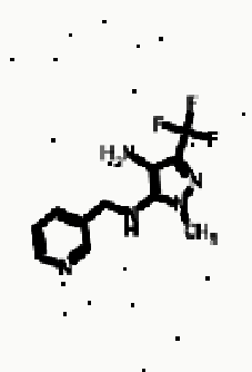 Cn1nc(C(F)(F)F)c(N)c1NCc1cccnc1